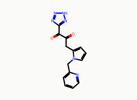 O=C(Cc1cccn1Cc1ccccn1)C(=O)c1nn[nH]n1